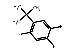 CC(C)(C)c1cc(F)c(F)cc1F